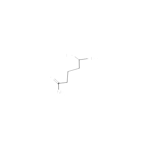 CC([C]=O)CCCC(N)=O